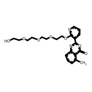 Cc1cccc2nc(-c3cccnc3OCCOCCOCCOCCO)oc(=O)c12